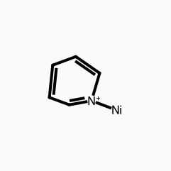 [Ni][n+]1ccccc1